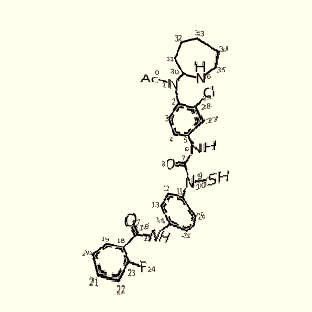 CC(=O)N(c1ccc(NC(=O)N(S)c2ccc(NC(=O)c3ccccc3F)cc2)cc1Cl)C1CCCCCN1